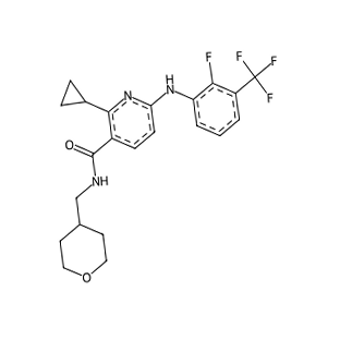 O=C(NCC1CCOCC1)c1ccc(Nc2cccc(C(F)(F)F)c2F)nc1C1CC1